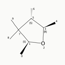 C[C@@H]1O[C@H](C)[C@@H](C)C1(C)C